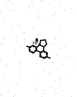 C#[PH][C@]12CCCC1c1cc(C)ccc1-c1ccc(C)cc12